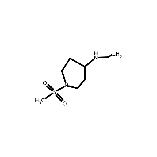 CCNC1CCN(S(C)(=O)=O)CC1